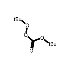 CC(C)(C)OOC(=O)OC(C)(C)C